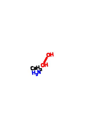 N.OO.[CaH2]